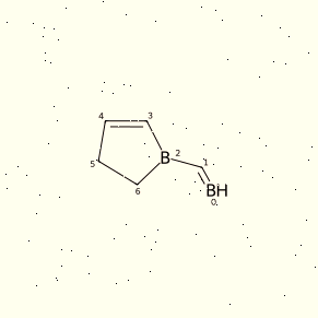 B=CB1C=CCC1